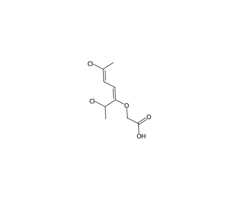 C/C(Cl)=C\C=C(\OCC(=O)O)C(C)Cl